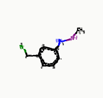 CPNc1cccc(CBr)c1